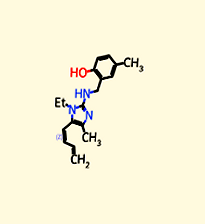 C=C/C=C\c1c(C)nc(NCc2cc(C)ccc2O)n1CC